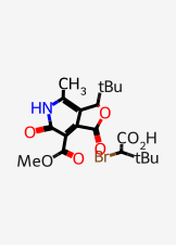 CC(C)(C)C(Br)C(=O)O.COC(=O)c1c2c(c(C)[nH]c1=O)C(C(C)(C)C)OC2=O